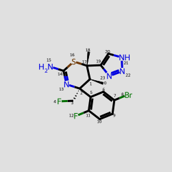 C[C@H]1[C@@](CF)(c2cc(Br)ccc2F)N=C(N)S[C@]1(C)c1c[nH]nn1